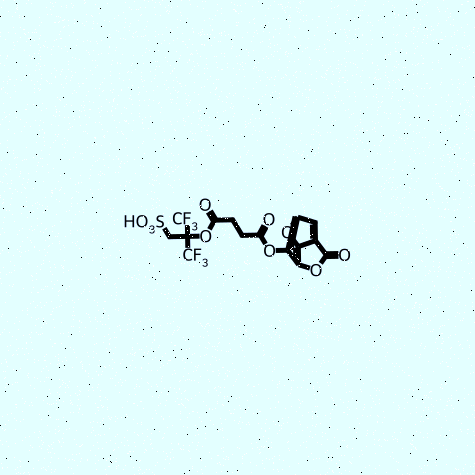 O=C(CCC(=O)OC(CS(=O)(=O)O)(C(F)(F)F)C(F)(F)F)Oc1c2c3oc1cc3C(=O)O2